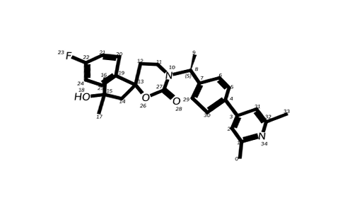 Cc1cc(-c2ccc([C@H](C)N3CCC(CC(C)(C)O)(c4ccc(F)cc4)OC3=O)cc2)cc(C)n1